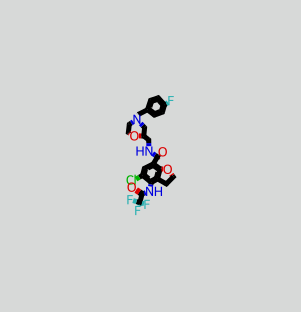 O=C(NCC1CN(Cc2ccc(F)cc2)CCO1)c1cc(Cl)c(NC(=O)C(F)(F)F)c2c1OCC2